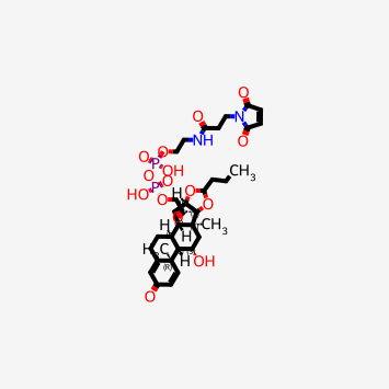 CCCC1O[C@@H]2C[C@H]3[C@@H]4CCC5=CC(=O)C=C[C@]5(C)[C@H]4[C@@H](O)C[C@]3(C)[C@]2(C(=O)COP(=O)(O)OP(=O)(O)OCCNC(=O)CCN2C(=O)C=CC2=O)O1